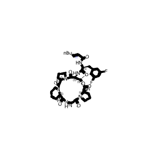 CCCC/C=C/C(=O)N[C@@H](Cc1cc(F)cc(F)c1)C(=O)N[C@@H]1C(=O)N2CCC[C@H]2C(=O)N2CCCC[C@H]2C(=O)N[C@@H](C)C(=O)N2CCC[C@H]2C(=O)O[C@H]1C